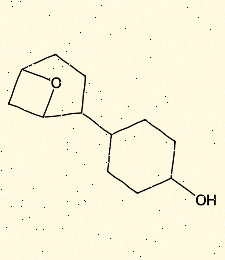 OC1CCC(C2CCC3CC2O3)CC1